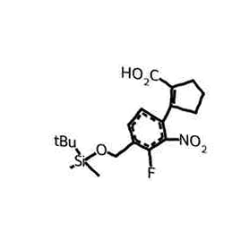 CC(C)(C)[Si](C)(C)OCc1ccc(C2=C(C(=O)O)CCC2)c([N+](=O)[O-])c1F